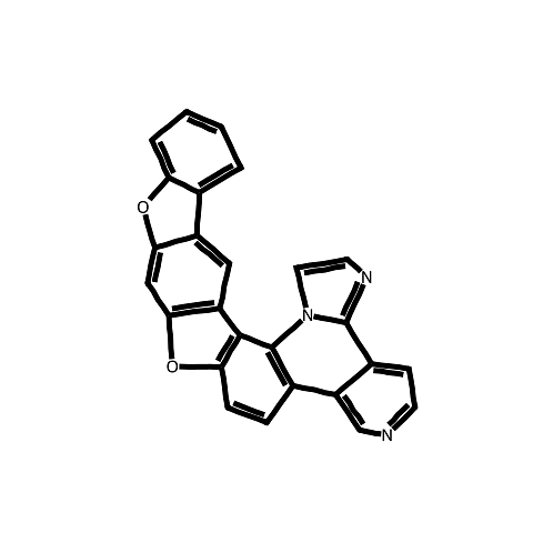 c1ccc2c(c1)oc1cc3oc4ccc5c6cnccc6c6nccn6c5c4c3cc12